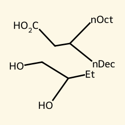 CCC(O)CO.CCCCCCCCCCC(CCCCCCCC)CC(=O)O